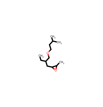 CCC(COCCC(C)C)CC1OC1C